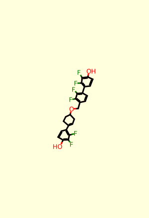 Oc1ccc(C2=CCC(OCc3ccc(-c4ccc(O)c(F)c4F)c(F)c3F)CC2)c(F)c1F